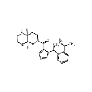 CC(C)c1ccccc1[C@H](C)n1cncc1C(=O)N1CC[C@H]2NCCO[C@@H]2C1